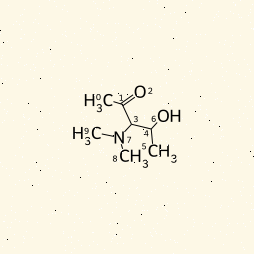 CC(=O)C(C(C)O)N(C)C